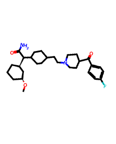 CO[C@@H]1CCC[C@@H](C(C(N)=O)C2CCC(CCN3CCC(C(=O)c4ccc(F)cc4)CC3)CC2)C1